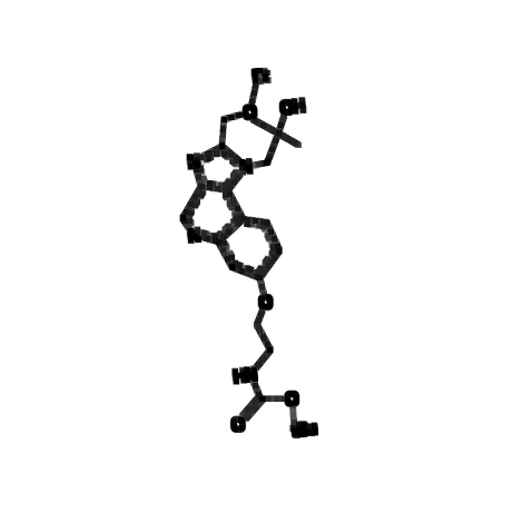 CCOCc1nc2cnc3cc(OCCNC(=O)OC(C)(C)C)ccc3c2n1CC(C)(C)O